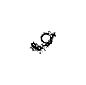 COc1cc(C(=O)N2[C@H]3CC[C@@H]2[C@H](N)C3)cc2nc(-c3cc4ccc5nc4n3CCCCCCCC(=O)N3CC4(CC4)CC53C)n(C)c12